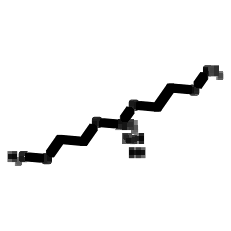 COCC[O][AlH2-][O]CCOC.[HH].[NaH]